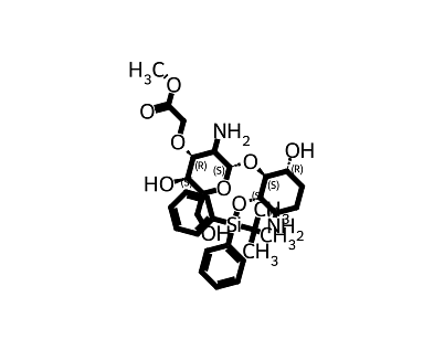 COC(=O)CO[C@@H]1C(N)[C@H](O[C@@H]2[C@@H](O[Si](c3ccccc3)(c3ccccc3)C(C)(C)C)[C@H](N)CC[C@H]2O)OC(CO)[C@H]1O